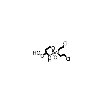 O=P1(N(CCCl)CCCl)NC(OO)CCO1